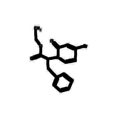 CCOC(=O)C(Cc1ccccc1)n1ccc(Br)cc1=O